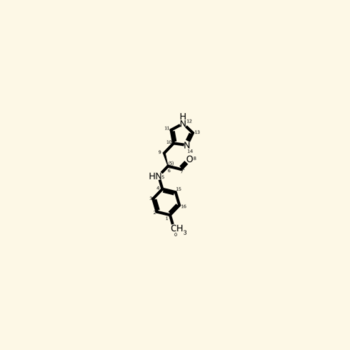 Cc1ccc(N[C@H]([C]=O)Cc2c[nH]cn2)cc1